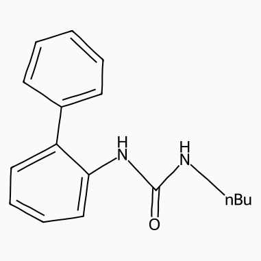 CCCCNC(=O)Nc1ccccc1-c1ccccc1